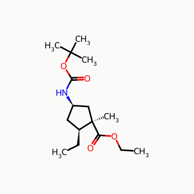 CCOC(=O)[C@]1(C)C[C@H](NC(=O)OC(C)(C)C)C[C@@H]1CC